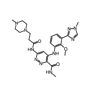 CNC(=O)c1nnc(NC(=O)CCN2CCN(C)CC2)cc1Nc1cccc(-c2ncn(C)n2)c1OC